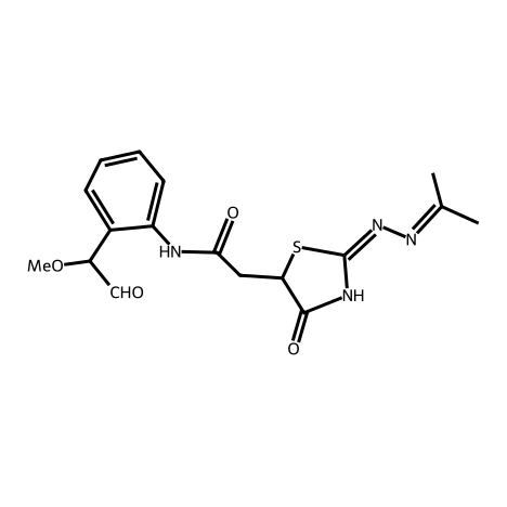 COC(C=O)c1ccccc1NC(=O)CC1SC(=NN=C(C)C)NC1=O